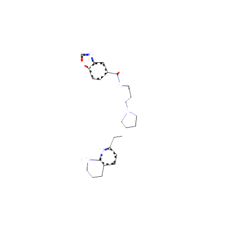 O=C(N[C@@H](CCN1CC[C@H](CCc2ccc3c(n2)NCCC3)C1)C(=O)O)c1ccc2ocnc2c1